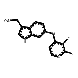 CNCc1c[nH]c2cc(Nc3ccnc(Cl)c3Cl)ccc12